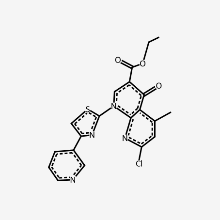 CCOC(=O)c1cn(-c2nc(-c3cccnc3)cs2)c2nc(Cl)cc(C)c2c1=O